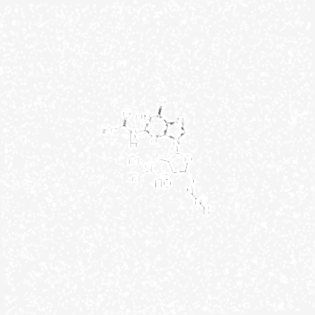 CC(C)C(=O)Nc1nc2c(ncn2C2OC(CN=[N+]=[N-])C(O)C2O[Si](C(C)C)(C(C)C)C(C)C)c(=O)[nH]1